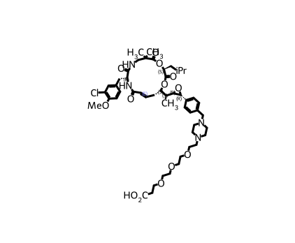 COc1ccc(C[C@H]2NC(=O)/C=C/C[C@@H]([C@H](C)[C@H]3O[C@@H]3c3ccc(CN4CCN(CCOCCOCCOCCC(=O)O)CC4)cc3)OC(=O)[C@H](CC(C)C)OC(=O)C(C)(C)CNC2=O)cc1Cl